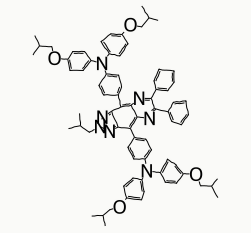 CC(C)COc1ccc(N(c2ccc(OCC(C)C)cc2)c2ccc(-c3c4nc(-c5ccccc5)c(-c5ccccc5)nc4c(-c4ccc(N(c5ccc(OCC(C)C)cc5)c5ccc(OCC(C)C)cc5)cc4)c4nn(CC(C)C)nc34)cc2)cc1